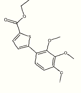 CCOC(=O)c1ccc(-c2ccc(OC)c(OC)c2OC)s1